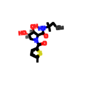 Cc1ccc(C(=O)N2C[C@H](O)[C@@H](O)C2C(=O)NC(C)(C)CC(C)(C)C)s1